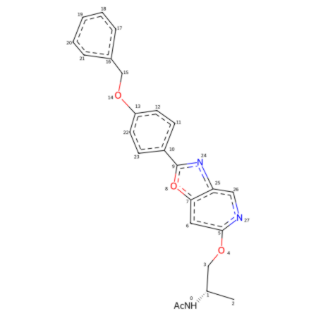 CC(=O)N[C@@H](C)COc1cc2oc(-c3ccc(OCc4ccccc4)cc3)nc2cn1